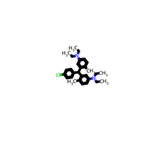 CCN(CC)c1ccc(C)c(C(c2ccc(Cl)cc2)c2cc(N(CC)CC)ccc2C)c1